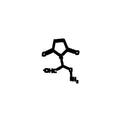 NOC([C]=O)N1C(=O)C=CC1=O